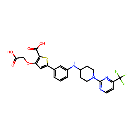 O=C(O)COc1cc(-c2cccc(NC3CCN(c4nccc(C(F)(F)F)n4)CC3)c2)sc1C(=O)O